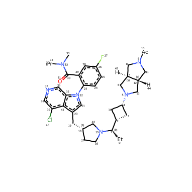 CC[C@H]([C@H]1C[C@@H](N2C[C@H]3CN(C(C)=O)C[C@@H]3C2)C1)N1CC[C@H](Cc2cn(-c3ccc(F)cc3C(=O)N(C)C(C)C)c3cncc(Cl)c23)C1